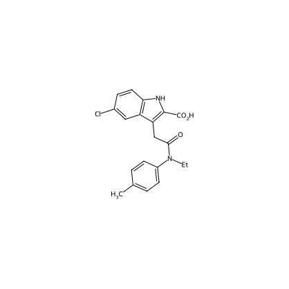 CCN(C(=O)Cc1c(C(=O)O)[nH]c2ccc(Cl)cc12)c1ccc(C)cc1